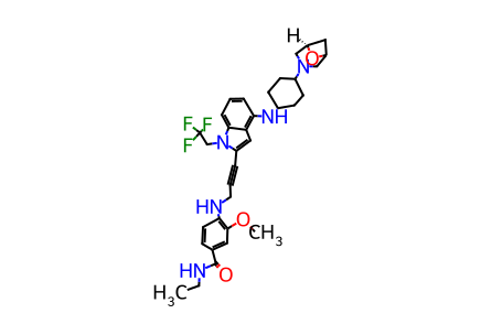 CCNC(=O)c1ccc(NCC#Cc2cc3c(NC4CCC(N5CC6C[C@H](C5)O6)CC4)cccc3n2CC(F)(F)F)c(OC)c1